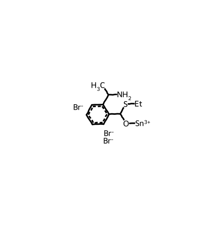 CCSC([O][Sn+3])c1ccccc1C(C)N.[Br-].[Br-].[Br-]